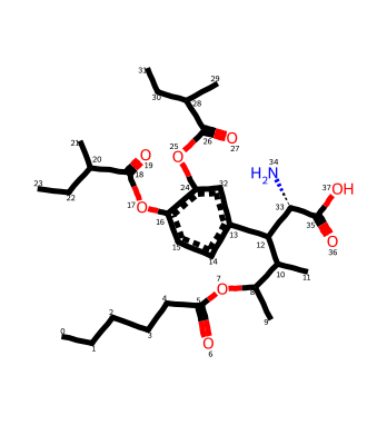 CCCCCC(=O)OC(C)C(C)C(c1ccc(OC(=O)C(C)CC)c(OC(=O)C(C)CC)c1)[C@H](N)C(=O)O